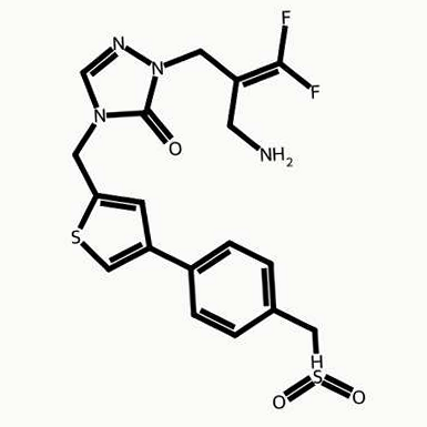 NCC(Cn1ncn(Cc2cc(-c3ccc(C[SH](=O)=O)cc3)cs2)c1=O)=C(F)F